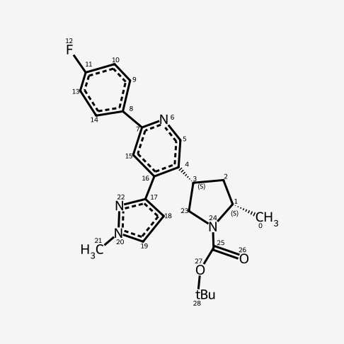 C[C@H]1C[C@@H](c2cnc(-c3ccc(F)cc3)cc2-c2ccn(C)n2)CN1C(=O)OC(C)(C)C